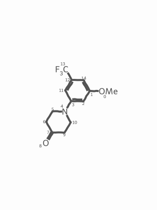 COc1cc(N2CCC(=O)CC2)cc(C(F)(F)F)c1